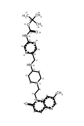 Cc1cnc2ccc(=O)n(CCN3CCC(NCc4cnc(NC(=O)OC(C)(C)C)cn4)CC3)c2c1